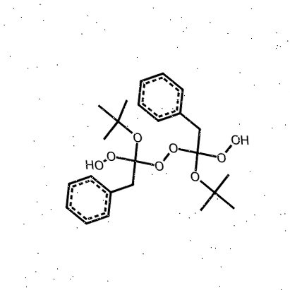 CC(C)(C)OC(Cc1ccccc1)(OO)OOC(Cc1ccccc1)(OO)OC(C)(C)C